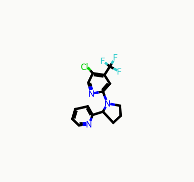 FC(F)(F)c1cc(N2CCCC2c2ccccn2)ncc1Cl